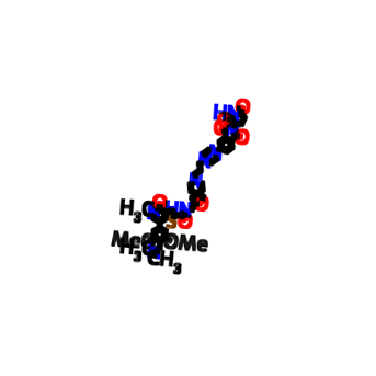 COc1cc(-c2cn(C)c(=O)c3cc(C(=O)NCC4CC5(CCN(CCCN6CCN(c7ccc8c(c7)C(=O)N(C7CCC(=O)NC7=O)C8=O)CC6)CC5)CO4)sc23)cc(OC)c1CN(C)C